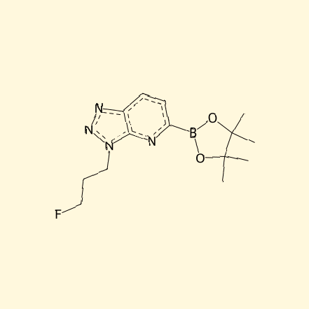 CC1(C)OB(c2ccc3nnn(CCCF)c3n2)OC1(C)C